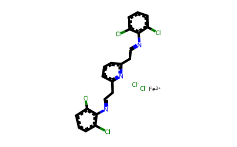 Clc1cccc(Cl)c1N=CCc1cccc(CC=Nc2c(Cl)cccc2Cl)n1.[Cl-].[Cl-].[Fe+2]